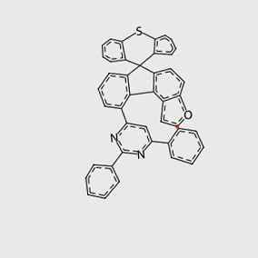 c1ccc(-c2cc(-c3cccc4c3-c3c(ccc5occc35)C43c4ccccc4Sc4ccccc43)nc(-c3ccccc3)n2)cc1